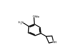 COc1cc(C2CNC2)ccc1N